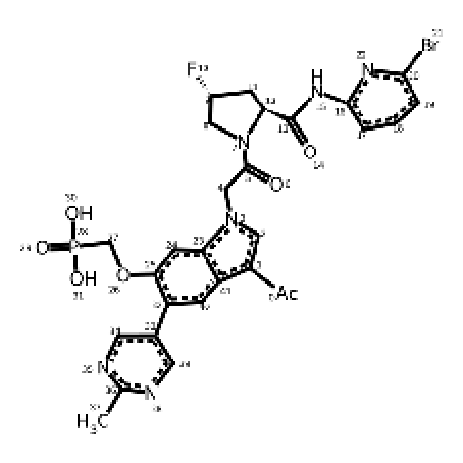 CC(=O)c1cn(CC(=O)N2C[C@H](F)C[C@H]2C(=O)Nc2cccc(Br)n2)c2cc(OCP(=O)(O)O)c(-c3cnc(C)nc3)cc12